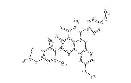 COC(=O)c1c(N(Cc2ccc(OC)cc2)Cc2ccc(OC)cc2)ncn(-c2c(C)cc(CC(F)F)cc2C)c1=O